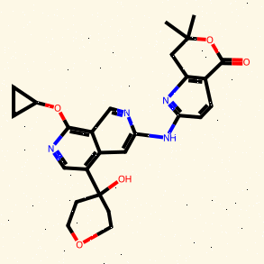 CC1(C)Cc2nc(Nc3cc4c(C5(O)CCOCC5)cnc(OC5CC5)c4cn3)ccc2C(=O)O1